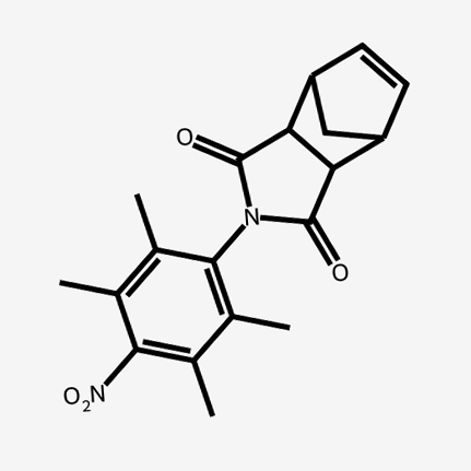 Cc1c(C)c([N+](=O)[O-])c(C)c(C)c1N1C(=O)C2C3C=CC(C3)C2C1=O